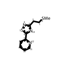 CSCCc1nsc(-c2ccccn2)n1